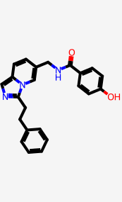 O=C(NCc1ccc2cnc(CCc3ccccc3)n2c1)c1ccc(O)cc1